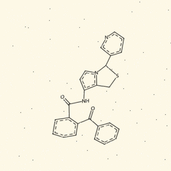 O=C(Nc1ccn2c1CSC2c1cccnc1)c1ccccc1C(=O)c1ccccc1